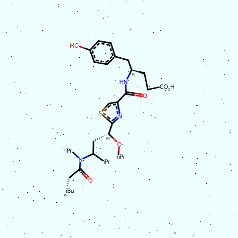 CCCO[C@H](CC(C(C)C)N(CCC)C(=O)C[C@@H](C)CC)c1nc(C(=O)N[C@H](CCC(=O)O)Cc2ccc(O)cc2)cs1